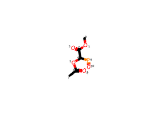 COC(=O)C(OC(C)=O)P=O